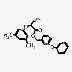 Cc1cc(C)cc(OC(C(=O)OCc2cccc(Oc3ccccc3)c2)C(C)C)c1